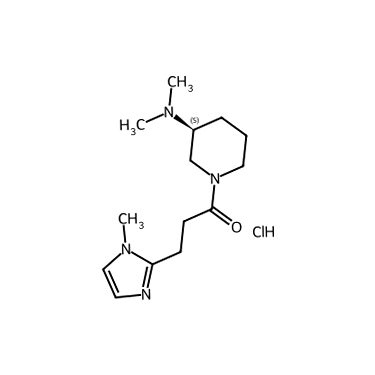 CN(C)[C@H]1CCCN(C(=O)CCc2nccn2C)C1.Cl